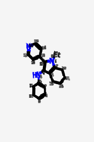 CCn1c2c(c(Nc3ccccc3)c1-c1ccncc1)CCCC2